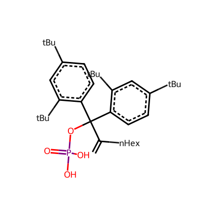 C=C(CCCCCC)C(OP(=O)(O)O)(c1ccc(C(C)(C)C)cc1C(C)(C)C)c1ccc(C(C)(C)C)cc1C(C)(C)C